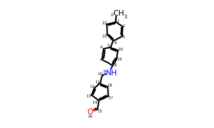 Cc1ccc(-c2ccc(NCc3ccc(C=O)cc3)cc2)cc1